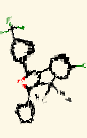 CC1(C)c2cc(Cl)ccc2-c2c(-c3ccc(C(F)(F)F)cc3)oc(-c3ccccc3)c21